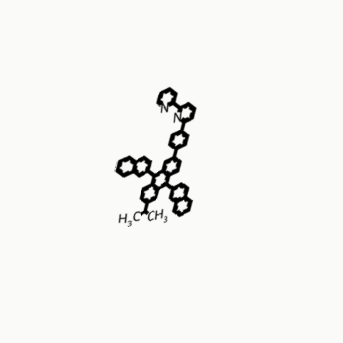 CC(C)c1ccc2c(-c3ccc4ccccc4c3)c3cc(-c4ccc(-c5cccc(-c6ccccn6)n5)cc4)ccc3c(-c3ccc4ccccc4c3)c2c1